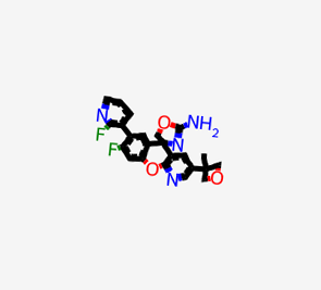 CC1(c2cnc3c(c2)C2(COC(N)=N2)c2cc(-c4cccnc4F)c(F)cc2O3)COC1